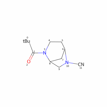 CC(C)(C)C(=O)N1CCC2CC1CN2C#N